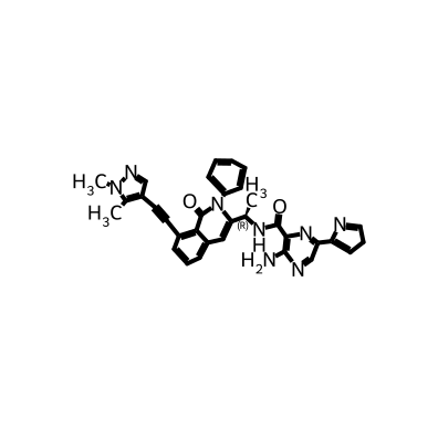 Cc1c(C#Cc2cccc3cc([C@@H](C)NC(=O)c4nc(C5=CCC=N5)cnc4N)n(-c4ccccc4)c(=O)c23)cnn1C